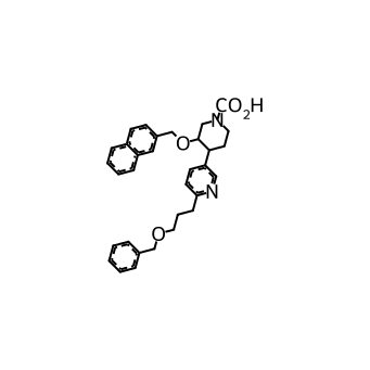 O=C(O)N1CCC(c2ccc(CCCOCc3ccccc3)nc2)C(OCc2ccc3ccccc3c2)C1